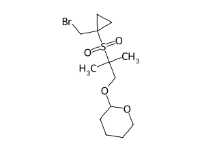 CC(C)(COC1CCCCO1)S(=O)(=O)C1(CBr)CC1